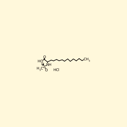 CCCCCCCCCCCCCC(NS(C)(=O)=O)C(=O)O.Cl